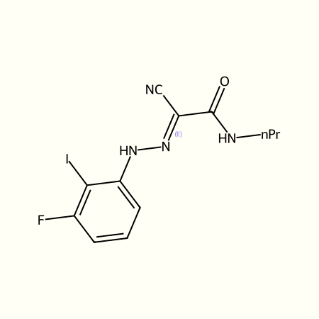 CCCNC(=O)/C(C#N)=N/Nc1cccc(F)c1I